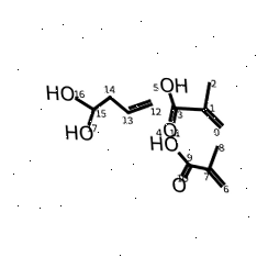 C=C(C)C(=O)O.C=C(C)C(=O)O.C=CCC(O)O